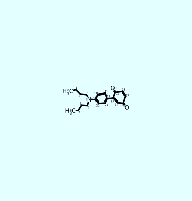 CCCCN(CCCC)c1ccc(C2=CC(=O)C=CC2=O)cc1